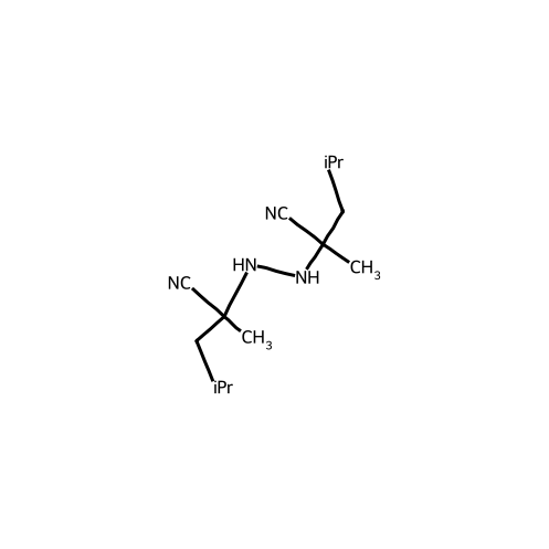 CC(C)CC(C)(C#N)NNC(C)(C#N)CC(C)C